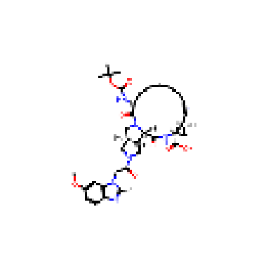 COc1ccc2nc(C)n(CC(=O)N3C[C@H]4CN5C(=O)[C@H](NC(=O)OC(C)(C)C)CCCCC/C=C\[C@@H]6C[C@@]6(C(=O)O)NC(=O)[C@@H]5[C@H]4C3)c2c1